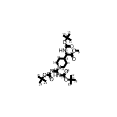 COC(=O)C(NC(=O)OC(C)(C)C)C1CCN(/C(=N/C(=O)OC(C)(C)C)NC(=O)OC(C)(C)C)CC1